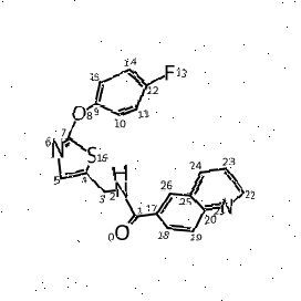 O=C(NCc1cnc(Oc2ccc(F)cc2)s1)c1ccc2ncccc2c1